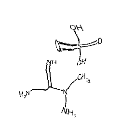 CN(N)C(=N)N.O=S(=O)(O)O